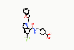 O=C(NC[C@H]1CC[C@H](C(=O)O)CC1)c1cc(C(F)(F)F)cc2ccn(Cc3cc4ccccc4o3)c12